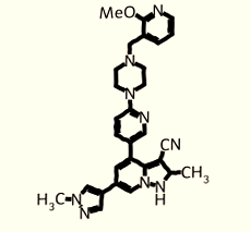 COc1ncccc1CN1CCN(c2ccc(C3=CC(c4cnn(C)c4)=CN4NC(C)C(C#N)=C34)cn2)CC1